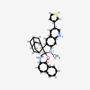 CN1c2cc3ncc(-c4ccsc4)cc3cc2C2(C3CC4CC(C3)CC2C4)C12C=Nc1ccc3ccccc3c1O2